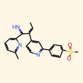 C/C=C(\C(=N)c1cccc(C)n1)c1ccnc(-c2ccc(S(C)(=O)=O)cc2)c1